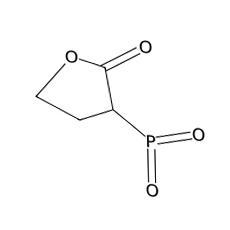 O=C1OCCC1P(=O)=O